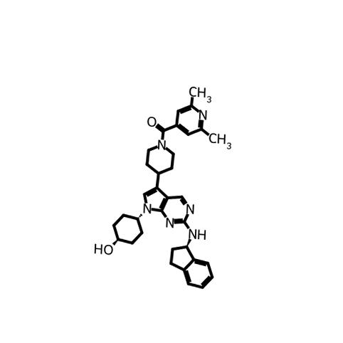 Cc1cc(C(=O)N2CCC(c3cn([C@H]4CC[C@H](O)CC4)c4nc(N[C@@H]5CCc6ccccc65)ncc34)CC2)cc(C)n1